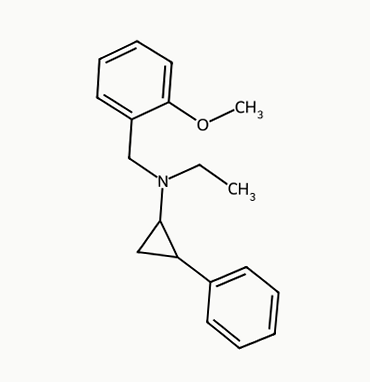 CCN(Cc1ccccc1OC)C1CC1c1ccccc1